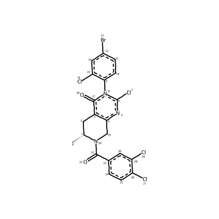 C[C@@H]1Cc2c(nc(Cl)n(-c3ccc(Br)cc3Cl)c2=O)CN1C(=O)c1ccc(Cl)c(Cl)c1